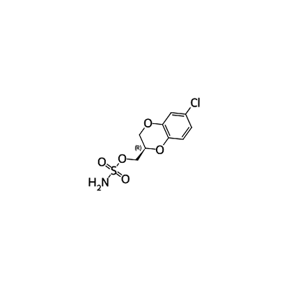 NS(=O)(=O)OC[C@H]1COc2cc(Cl)ccc2O1